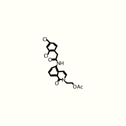 CC(=O)OCCn1ccc2c(NC(=O)Cc3ccc(Cl)cc3Cl)cccc2c1=O